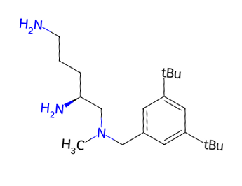 CN(Cc1cc(C(C)(C)C)cc(C(C)(C)C)c1)C[C@@H](N)CCCN